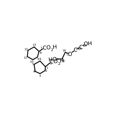 O=C(O)C1CCCCC1.O=C(O)C1CCCCC1.OCCOCCO